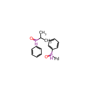 CC(C)[PH](=O)c1ccccc1.O=[PH]([Pd])c1ccccc1